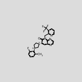 Cc1cccc(F)c1[C@H]1CC[C@H](c2cc3nccnc3n(Cc3ncccc3C(F)(F)F)c2=O)C1